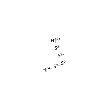 [Hf+4].[Hf+4].[S-2].[S-2].[S-2].[S-2]